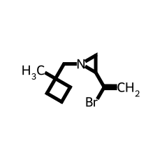 C=C(Br)C1CN1CC1(C)CCC1